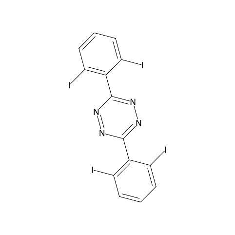 Ic1cccc(I)c1-c1nnc(-c2c(I)cccc2I)nn1